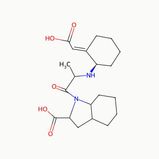 CC(N[C@@H]1CCCCC1=CC(=O)O)C(=O)N1C(C(=O)O)CC2CCCCC21